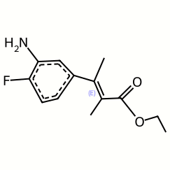 CCOC(=O)/C(C)=C(\C)c1ccc(F)c(N)c1